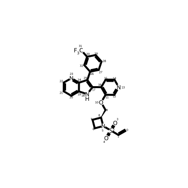 C=CS(=O)(=O)N1CC[C@H]1COc1cnccc1-c1[nH]c2cccnc2c1-c1cccc(C(F)(F)F)c1